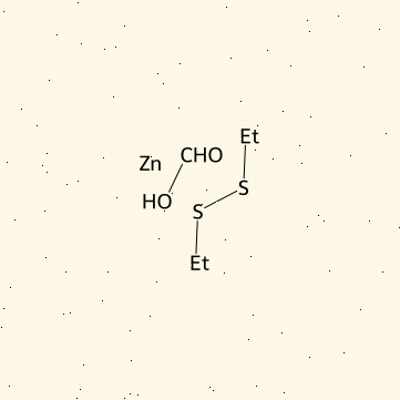 CCSSCC.O=CO.[Zn]